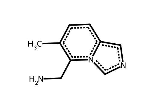 Cc1ccc2cncn2c1CN